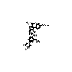 COc1ccc(-c2c(C(N)=O)sc3cnc(Nc4ccc(N5CCN(C)CC5)cc4OC(C)C)nc23)cc1